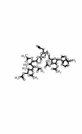 C=C([C@@H](OC(C)=O)C(O)OP(=O)(O)OP(=S)(OCC#N)OCC1OC(n2cnc3c(N)ncnc32)C(OC(C)=O)C1OC(C)=O)[C@@H](OC(C)=O)C(OC(C)=O)C(C)COC(C)=O